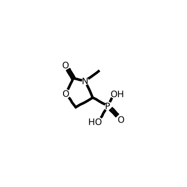 CN1C(=O)OCC1P(=O)(O)O